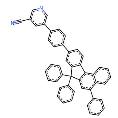 N#Cc1cncc(-c2ccc(-c3ccc4c(c3)C(c3ccccc3)(c3ccccc3)c3cc(-c5ccccc5)c5ccccc5c3-4)cc2)c1